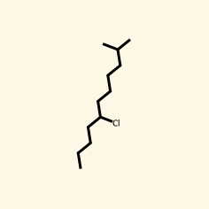 CCCCC(Cl)CCCCC(C)C